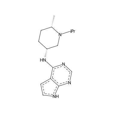 CC(C)N1C[C@H](Nc2ncnc3[nH]ccc23)CC[C@@H]1C